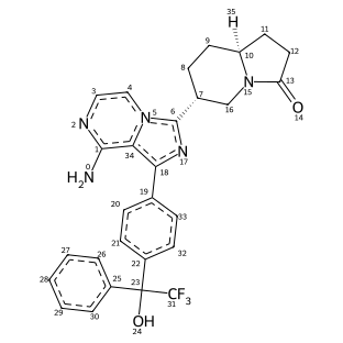 Nc1nccn2c([C@@H]3CC[C@H]4CCC(=O)N4C3)nc(-c3ccc(C(O)(c4ccccc4)C(F)(F)F)cc3)c12